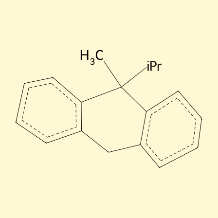 CC(C)C1(C)c2ccccc2Cc2ccccc21